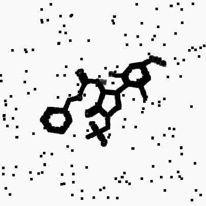 COc1cc(F)c(C2CN(CS(C)(=O)=O)C(=O)C2NC(=O)OCc2ccccc2)c(F)c1